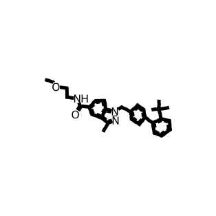 CCOCCNC(=O)c1ccc2c(c1)c(C)nn2Cc1ccc(-c2ccccc2C(C)(C)C)cc1